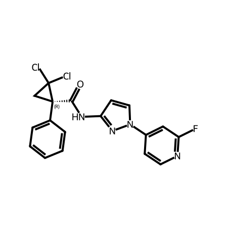 O=C(Nc1ccn(-c2ccnc(F)c2)n1)[C@]1(c2ccccc2)CC1(Cl)Cl